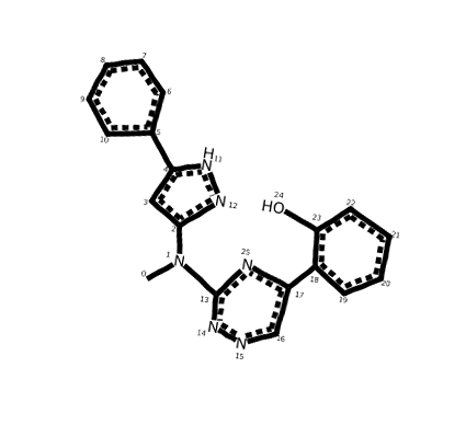 CN(c1cc(-c2ccccc2)[nH]n1)c1nncc(-c2ccccc2O)n1